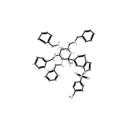 Cc1ccc(S(=O)(=O)n2ccc3ccc(C4(O)O[C@H](COCc5ccccc5)[C@@H](OCc5ccccc5)[C@H](OCc5ccccc5)[C@H]4OCc4ccccc4)cc32)cc1